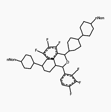 CCCCCCCCCC1CCC(C2CCC(C(OC(c3ccc(F)c(F)c3F)C3CCC(C4CCC(CCCCCCCCC)CC4)CC3)c3ccc(F)c(F)c3F)CC2)CC1